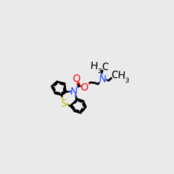 CCN(CC)CCOC(=O)N1c2ccccc2Sc2ccccc21